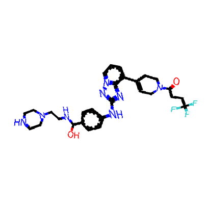 O=C(CCC(F)(F)F)N1CC=C(c2cccn3nc(Nc4ccc(C(O)NCCN5CCNCC5)cc4)nc23)CC1